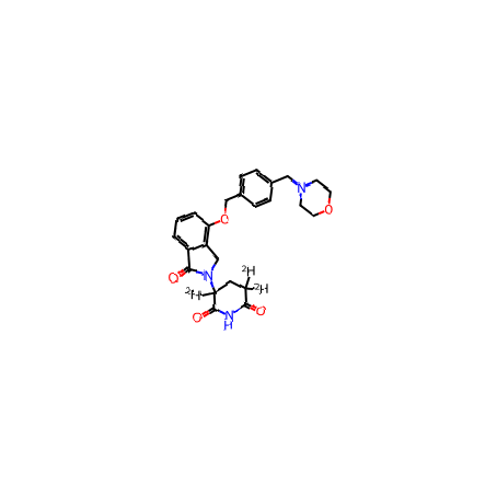 [2H]C1([2H])CC([2H])(N2Cc3c(OCc4ccc(CN5CCOCC5)cc4)cccc3C2=O)C(=O)NC1=O